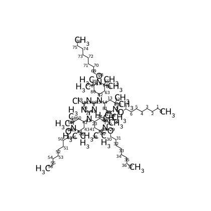 CCCCCCCCON1C(C)(C)CC(N(c2nc(Cl)nc(N(C3CC(C)(C)N(OCCCCCCCC)C(C)(C)C3)C3CC(C)(C)N(OCCCCCCCC)C(C)(C)C3)n2)C2CC(C)(C)N(OCCCCCCCC)C(C)(C)C2)CC1(C)C